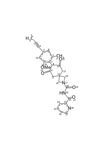 CC#Cc1cc(C)c(C2C(=O)CC3(CC2=O)CN(C(=O)NC(=O)c2ccccn2)C3)c(OC)c1